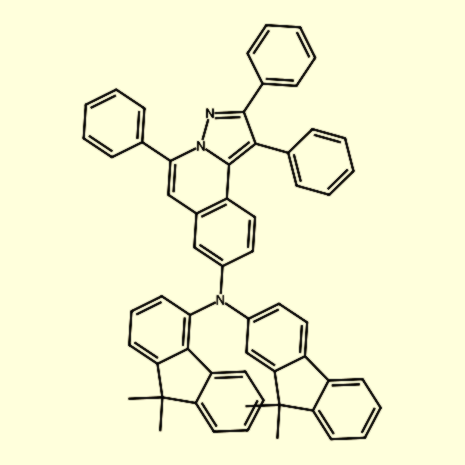 CC1(C)c2ccccc2-c2ccc(N(c3ccc4c(c3)cc(-c3ccccc3)n3nc(-c5ccccc5)c(-c5ccccc5)c43)c3cccc4c3-c3ccccc3C4(C)C)cc21